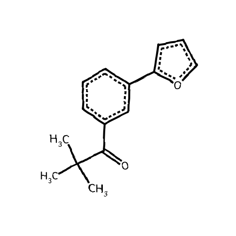 CC(C)(C)C(=O)c1cccc(-c2ccco2)c1